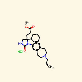 C=CCN1CCc2ccc(N3C(=O)NCC3(CCC(=O)OC(C)C)C3CCCCC3)cc2CC1.Cl